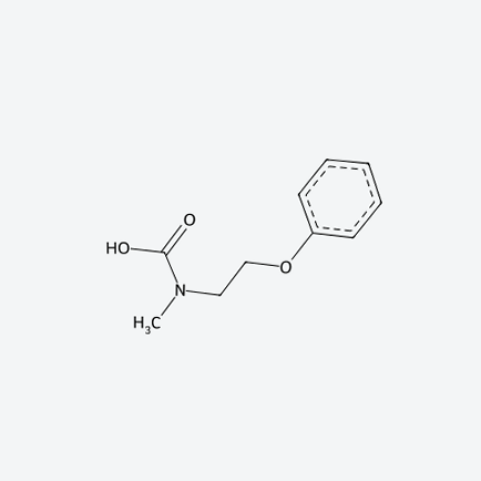 CN(CCOc1ccccc1)C(=O)O